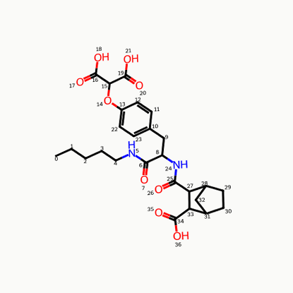 CCCCCNC(=O)C(Cc1ccc(OC(C(=O)O)C(=O)O)cc1)NC(=O)C1C2CCC(C2)C1C(=O)O